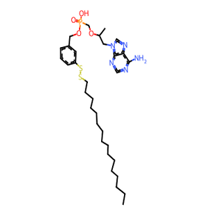 CCCCCCCCCCCCCCCCSSc1cccc(COP(=O)(O)COC(C)Cn2cnc3c(N)ncnc32)c1